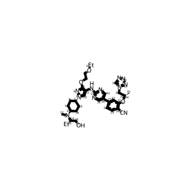 CCOCCOc1nn([C@H]2CC[C@H](N(C)[C@H](CC)CO)CC2)cc1Nc1ncc(-c2ccc(C#N)c(O[C@@H](C)Cn3cnnn3)c2)cn1